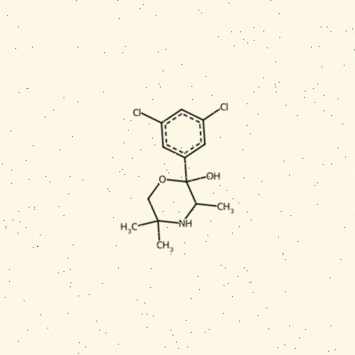 CC1NC(C)(C)COC1(O)c1cc(Cl)cc(Cl)c1